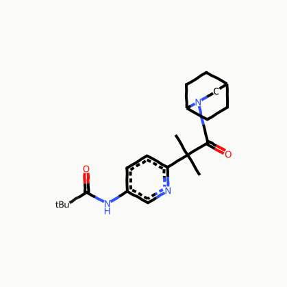 CC(C)(C)C(=O)Nc1ccc(C(C)(C)C(=O)N2CC3CCC2CC3)nc1